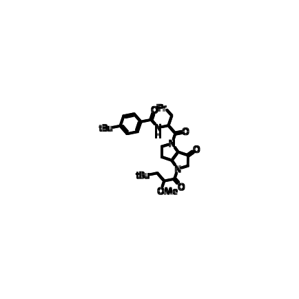 COC(CC(C)(C)C)C(=O)N1CC(=O)C2C1CCN2C(=O)C(CC(C)C)NC(=O)c1ccc(C(C)(C)C)cc1